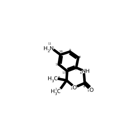 CC1(C)OC(=O)Nc2ccc(N)cc21